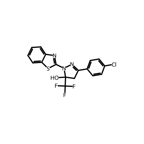 OC1(C(F)(F)F)CC(c2ccc(Cl)cc2)=NN1c1nc2ccccc2s1